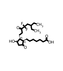 CCC(CC)CC(F)(F)C(=O)CC[C@H]1[C@H](O)CC(=O)[C@@H]1CCCCCCC(=O)O